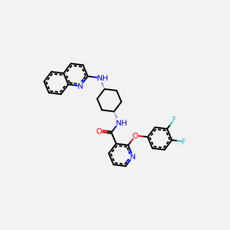 O=C(N[C@H]1CC[C@@H](Nc2ccc3ccccc3n2)CC1)c1cccnc1Oc1ccc(F)c(F)c1